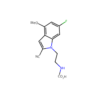 COc1cc(F)cc2c1cc(C#N)n2CCNC(=O)O